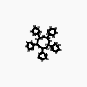 c1ccc(C2CC(c3ccccn3)CC(c3ccccn3)CC(c3ccccn3)CC(c3ccccn3)C2)nc1